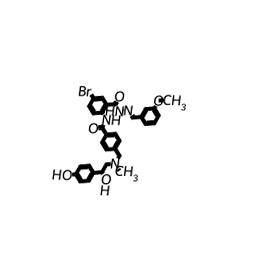 COc1cccc(C=NNC(=O)c2cc(Br)ccc2NC(=O)c2ccc(CN(C)CC(O)c3ccc(O)cc3)cc2)c1